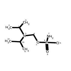 CC(C)N(COP(N)(=O)Cl)C(C)C